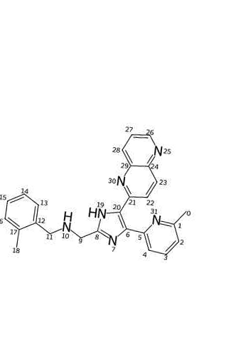 Cc1cccc(-c2nc(CNCc3ccccc3C)[nH]c2-c2ccc3ncccc3n2)n1